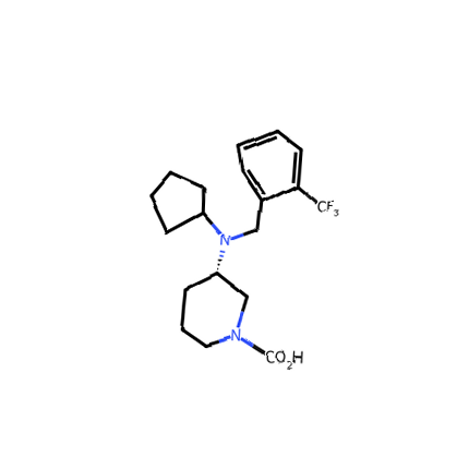 O=C(O)N1CCC[C@H](N(Cc2ccccc2C(F)(F)F)C2CCCC2)C1